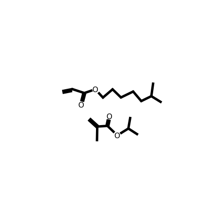 C=C(C)C(=O)OC(C)C.C=CC(=O)OCCCCCC(C)C